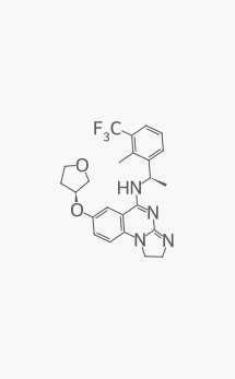 Cc1c([C@@H](C)NC2=NC3=NCCN3c3ccc(O[C@H]4CCOC4)cc32)cccc1C(F)(F)F